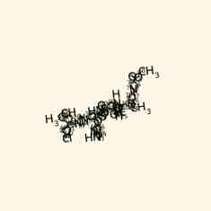 CCOC(=O)C1CCN(c2ccc(N(C)CCCNc3ccc(S(=O)(=O)NC(=O)c4ccc(N5CCN(CC6=C(c7ccc(Cl)cc7)CC(C)(C)CC6)CC5)cc4Oc4cnc5[nH]ccc5c4)cc3S(=O)(=O)C(F)(F)F)cc2)CC1